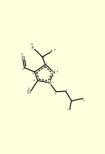 CC(C)CCn1nc(C(F)F)c(C=O)c1Cl